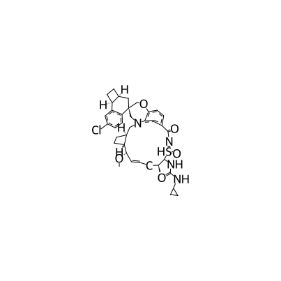 CO[C@H]1/C=C/C[C@H](C)C(NC(=O)NC2CC2)/[SH](=O)=N\C(=O)c2ccc3c(c2)N(C[C@@H]2CC[C@H]21)C[C@]1(CO3)C[C@@H]2CC[C@@H]2c2cc(Cl)ccc21